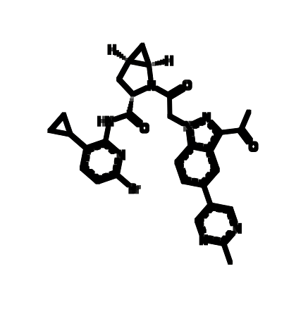 CC(=O)c1nn(CC(=O)N2[C@@H]3C[C@@H]3C[C@H]2C(=O)Nc2nc(Br)ccc2C2CC2)c2ccc(-c3cnc(C)nc3)cc12